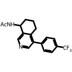 CC(=O)NC1CCCc2c(-c3ccc(C(F)(F)F)cc3)cncc21